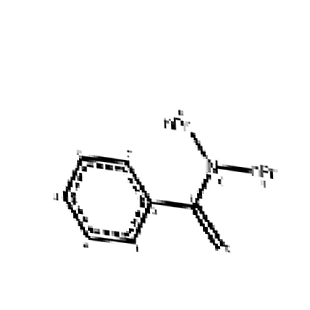 C=C(c1ccccc1)N(CCC)CCC